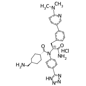 CN(C)c1ccc(-c2cccc(C[C@@H](C(N)=O)N(c3ccc(-c4nnn[nH]4)cc3)C(=O)[C@H]3CC[C@H](CN)CC3)c2)cn1.Cl